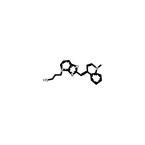 CN1C=C/C(=C\c2nc3c(ccc[n+]3CCCS)o2)c2ccccc21